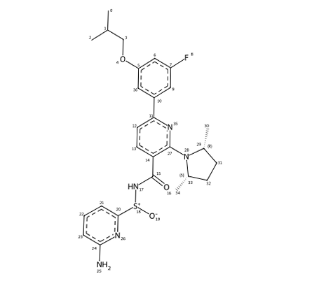 CC(C)COc1cc(F)cc(-c2ccc(C(=O)N[S+]([O-])c3cccc(N)n3)c(N3[C@H](C)CC[C@@H]3C)n2)c1